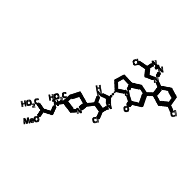 COC(CN(C(=O)O)c1ccc(-c2[nH]c([C@@H]3CCc4cc(-c5cc(Cl)ccc5-n5cc(Cl)nn5)cc(=O)n43)nc2Cl)nc1)C(=O)O